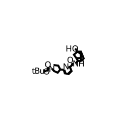 CC(C)(C)OC(=O)N1CCC(c2cccc(C(=O)NC3C4CC5CC3CC(O)(C5)C4)n2)CC1